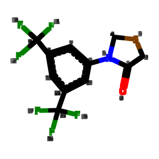 O=C1CSCN1c1cc(C(F)(F)F)cc(C(F)(F)F)c1